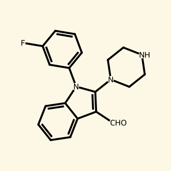 O=Cc1c(N2CCNCC2)n(-c2cccc(F)c2)c2ccccc12